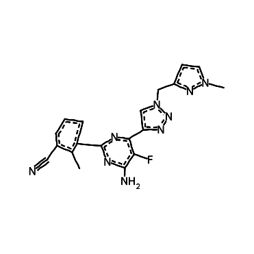 Cc1c(C#N)cccc1-c1nc(N)c(F)c(-c2cn(Cc3ccn(C)n3)nn2)n1